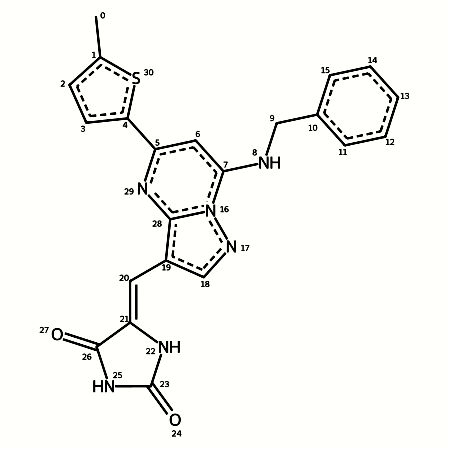 Cc1ccc(-c2cc(NCc3ccccc3)n3ncc(/C=C4\NC(=O)NC4=O)c3n2)s1